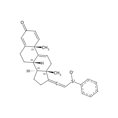 C[C@]12C=CC(=O)C=C1CC[C@@H]1C2=CC[C@]2(C)C(=C=C[S+]([O-])c3ccccc3)CC[C@@H]12